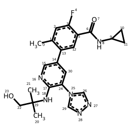 Cc1cc(F)c(C(=O)NC2CC2)cc1-c1cnc(NC(C)(C)CO)c(-n2cnnc2)c1